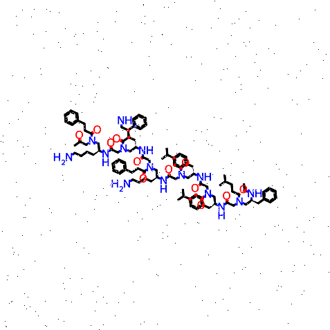 CCN[C@@H](Cc1ccccc1)CN(CC(=O)N[C@@H](Cc1ccccc1)CN(CC(=O)N[C@@H](Cc1ccccc1)CN(CC(=O)N[C@@H](CCCCN)CN(CC(=O)N[C@@H](CCCCN)CN(CC(=O)N[C@@H](CCCCN)CN(CC(C)=O)C(=O)CCc1ccccc1)C(=O)CCc1ccccc1)C(=O)CCc1ccccc1)C(=O)CCC(C)C)C(=O)CCC(C)C)C(=O)CCC(C)C